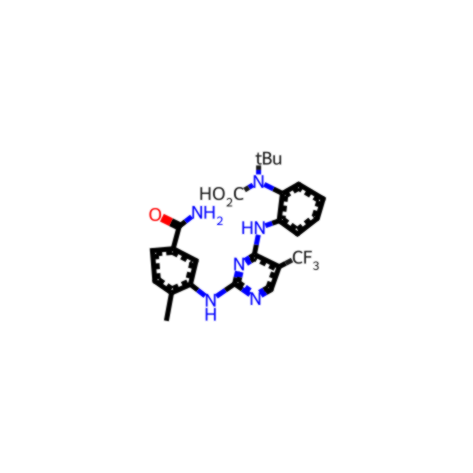 Cc1ccc(C(N)=O)cc1Nc1ncc(C(F)(F)F)c(Nc2ccccc2N(C(=O)O)C(C)(C)C)n1